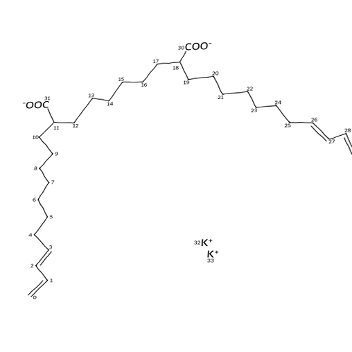 C=C/C=C/CCCCCCCC(CCCCCCC(CCCCCCC/C=C/C=C)C(=O)[O-])C(=O)[O-].[K+].[K+]